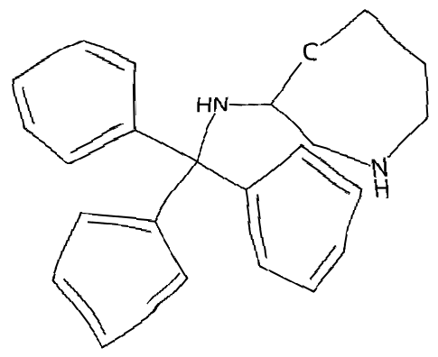 c1ccc(C(NC2CCCCNC2)(c2ccccc2)c2ccccc2)cc1